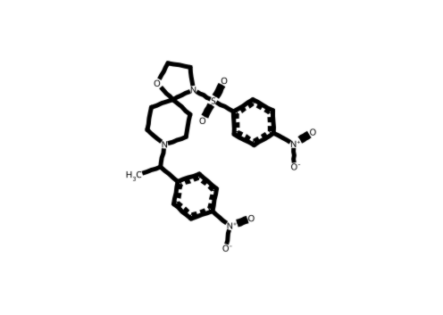 CC(c1ccc([N+](=O)[O-])cc1)N1CCC2(CC1)OCCN2S(=O)(=O)c1ccc([N+](=O)[O-])cc1